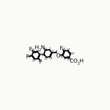 N[C@@H]1CC(COc2cc(C(=O)O)ccc2F)=CC[C@H]1c1cc(F)c(F)cc1F